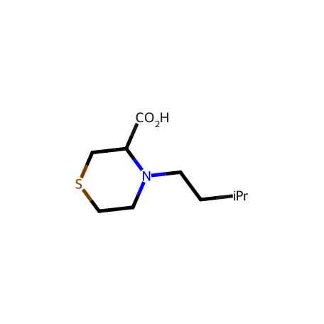 CC(C)CCN1CCSCC1C(=O)O